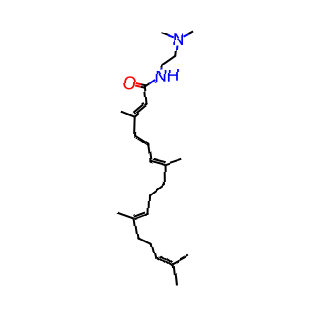 CC(C)=CCCC(C)=CCCC(C)=CCCC(C)=CC(=O)NCCN(C)C